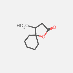 O=C1CC(C(=O)O)C2(CCCCC2)O1